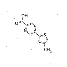 Cc1csc(-c2ccc(C(=O)O)nc2)n1